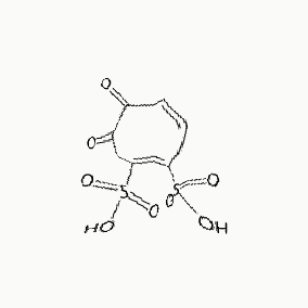 O=C1C=CC(S(=O)(=O)O)=C(S(=O)(=O)O)C1=O